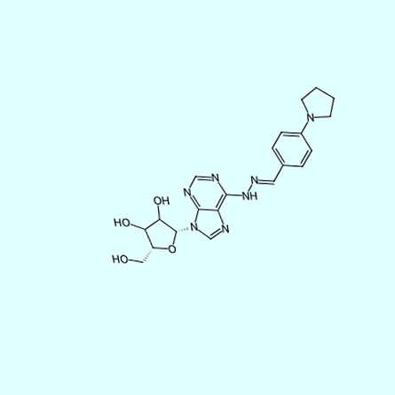 OC[C@H]1O[C@@H](n2cnc3c(N/N=C/c4ccc(N5CCCC5)cc4)ncnc32)C(O)C1O